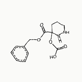 O=C(O)OC1(C(=O)OCc2ccccc2)CCCNN1